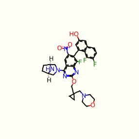 O=[N+]([O-])c1cc2c(N3C[C@H]4CC[C@@H](C3)N4)nc(OCC3(CN4CCOCC4)CC3)nc2c(F)c1-c1cc(O)cc2ccc(F)c(F)c12